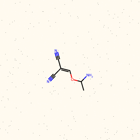 CC(N)OC=C(C#N)C#N